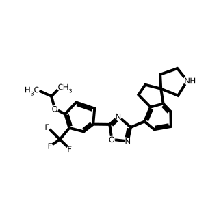 CC(C)Oc1ccc(-c2nc(-c3cccc4c3CCC43CCNC3)no2)cc1C(F)(F)F